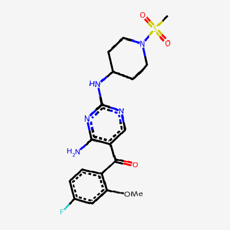 COc1cc(F)ccc1C(=O)c1cnc(NC2CCN(S(C)(=O)=O)CC2)nc1N